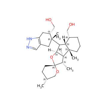 C[C@@H]1CC[C@@]2(OC1)O[C@H]1C([C@]3(C)Cc4cn[nH]c4C[C@@H]3CO)[C@@H]3[C@H](CO)CCC[C@]3(C)[C@H]1[C@@H]2C